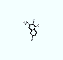 Nc1nc2cc(Br)ccc2c(Cl)c1Cl